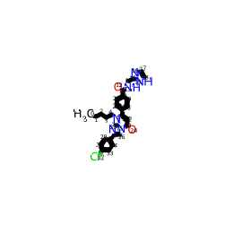 CCCCCn1c(-c2ccc(C(=O)NCc3ncc[nH]3)cc2)cc(=O)n2cc(-c3ccc(Cl)cc3)nc12